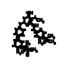 CCN(C(=N)CCCc1ccc(-c2cccc(C(C)(C)C(N)=O)c2)cc1)C(=O)NCc1ccc(C(C)(C)C)cc1